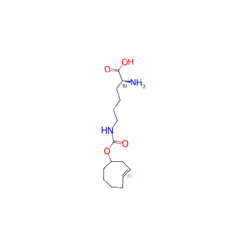 N[C@@H](CCCCNC(=O)OC1C/C=C/CCCC1)C(=O)O